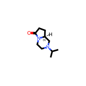 CC(C)N1CCN2C(=O)CC[C@H]2C1